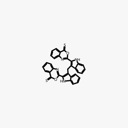 S=c1oc(-c2[nH]c3ccccc3c2Cc2c(-c3nc4ccccc4c(=S)o3)[nH]c3ccccc23)nc2ccccc12